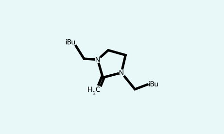 C=C1N(CC(C)CC)CCN1CC(C)CC